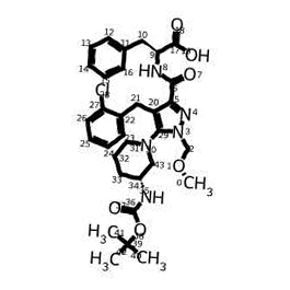 COCn1nc(C(=O)N[C@@H](Cc2ccccc2)C(=O)O)c(Cc2ccccc2Cl)c1N1CCC[C@@H](NC(=O)OC(C)(C)C)C1